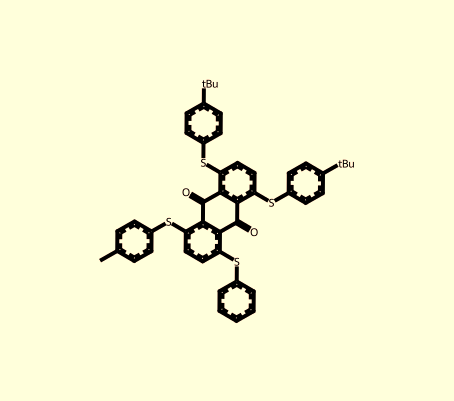 Cc1ccc(Sc2ccc(Sc3ccccc3)c3c2C(=O)c2c(Sc4ccc(C(C)(C)C)cc4)ccc(Sc4ccc(C(C)(C)C)cc4)c2C3=O)cc1